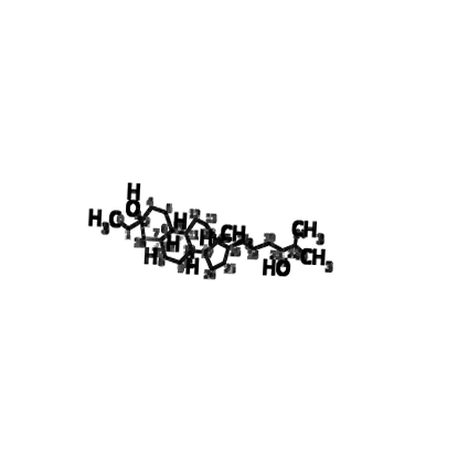 CC[C@]1(O)CC[C@H]2[C@@H](CC[C@@H]3[C@@H]2CC[C@]2(C)[C@@H](CCC[C@@H](O)C(C)C)CC[C@@H]32)C1